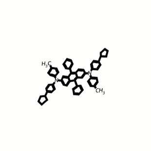 Cc1ccc(N(c2ccc(C3CCCC3)cc2)c2ccc3c(-c4ccccc4)c4cc(N(c5ccc(C)cc5)c5ccc(C6CCCC6)cc5)ccc4c(-c4ccccc4)c3c2)cc1